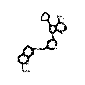 CNc1ccc2ccc(OCc3cncc(-n4cc(C5CCCC5)c5c(N)ncnc54)c3)cc2n1